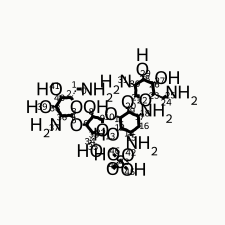 NC[C@@H]1O[C@H](O[C@H]2[C@@H](O)[C@H](O[C@@H]3[C@@H](O)[C@H](N)C[C@H](N)[C@H]3O[C@H]3O[C@H](CN)[C@@H](O)[C@H](O)[C@H]3N)O[C@@H]2CO)[C@H](N)[C@@H](O)[C@@H]1O.O=S(=O)(O)O